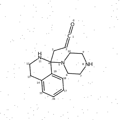 O=C=CCC1(N2CCNCC2)NCCc2ccccc21